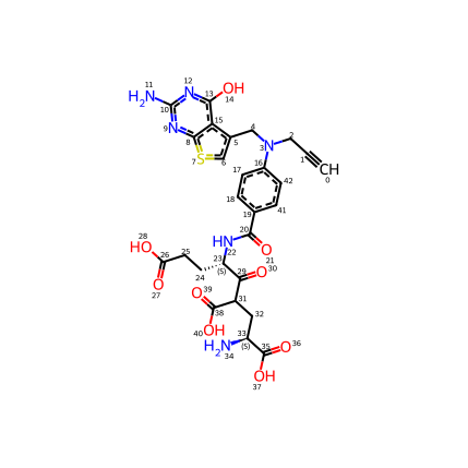 C#CCN(Cc1csc2nc(N)nc(O)c12)c1ccc(C(=O)N[C@@H](CCC(=O)O)C(=O)C(C[C@H](N)C(=O)O)C(=O)O)cc1